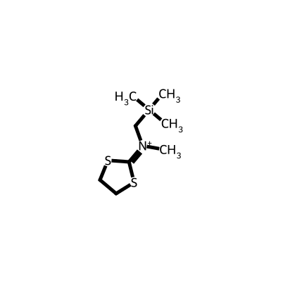 C[N+](C[Si](C)(C)C)=C1SCCS1